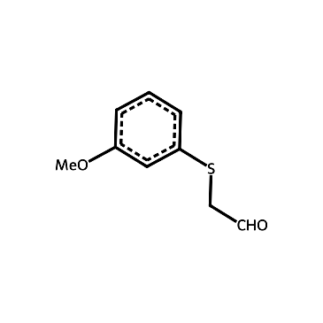 COc1cccc(SCC=O)c1